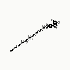 CCCOCCOCCOCCNC(=O)COCC(=O)NCCOCCOCCOCCNS(=O)(=O)c1ccc(C2CN(C)Cc3c(Cl)cc(Cl)cc32)cc1